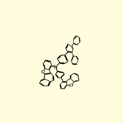 c1ccc(-c2ccc(-c3ccc(N(c4ccc(-c5cccc6oc7ccccc7c56)cc4)c4cccc5oc6c7ccccc7ccc6c45)cc3)c(-c3ccccc3)c2)cc1